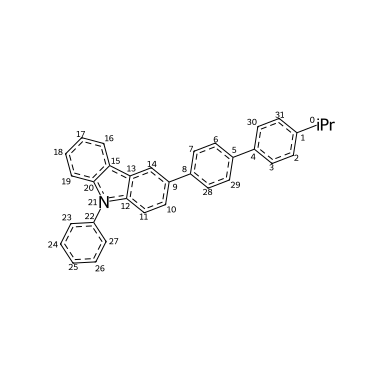 CC(C)c1ccc(-c2ccc(-c3ccc4c(c3)c3ccccc3n4-c3ccccc3)cc2)cc1